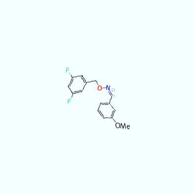 COc1cccc(/[C]=N\OCc2cc(F)cc(F)c2)c1